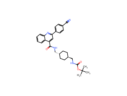 CC(C)(C)OC(=O)NC[C@H]1CC[C@H](CNC(=O)c2cc(-c3ccc(C#N)cc3)nc3ccccc23)CC1